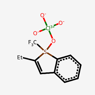 CCC1=Cc2ccccc2S1(O[Cl+3]([O-])([O-])[O-])C(F)(F)F